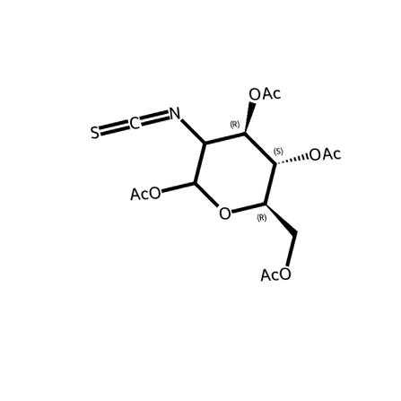 CC(=O)OC[C@H]1OC(OC(C)=O)C(N=C=S)[C@@H](OC(C)=O)[C@@H]1OC(C)=O